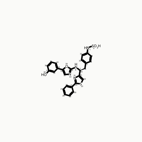 O=S(=O)(O)Nc1ccc(C[C@H](Nc2ncc(-c3cccc(O)c3)o2)c2csc(-c3ccccc3)n2)cc1